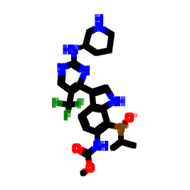 COC(=O)Nc1ccc2c(-c3nc(N[C@H]4CCCNC4)ncc3C(F)(F)F)c[nH]c2c1[S+]([O-])C(C)C